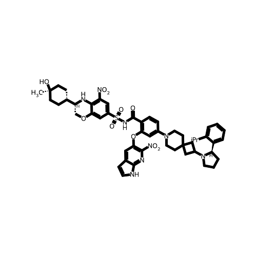 CC(C)c1ccccc1[C@H]1CCCN1C1CC2(CCN(c3ccc(C(=O)NS(=O)(=O)c4cc5c(c([N+](=O)[O-])c4)N[C@@H]([C@H]4CC[C@](C)(O)CC4)CO5)c(Oc4cc5cc[nH]c5nc4[N+](=O)[O-])c3)CC2)C1